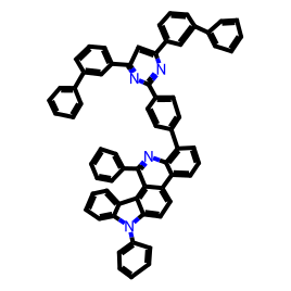 c1ccc(-c2cccc(-c3cc(-c4cccc(-c5ccccc5)c4)nc(-c4ccc(-c5cccc6c5nc(-c5ccccc5)c5c6ccc6c5c5ccccc5n6-c5ccccc5)cc4)n3)c2)cc1